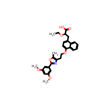 CCOC(Cc1ccc(OCCc2nc(-c3cc(OC)cc(OC)c3)oc2C)c2ccccc12)C(=O)O